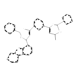 CC1C=C(c2cccc(/C(N)=C/C(NCc3ccccc3)c3cccc4c3oc3ccccc34)c2)NC(c2ccccc2)N1